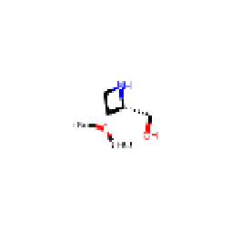 CC(C)(C)OC=O.OC[C@@H]1CCN1